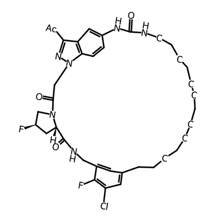 CC(=O)c1nn2c3ccc(cc13)NC(=O)NCCCCCCCCCCCCCc1cc(Cl)c(F)c(c1)CNC(=O)[C@@H]1C[C@@H](F)CN1C(=O)C2